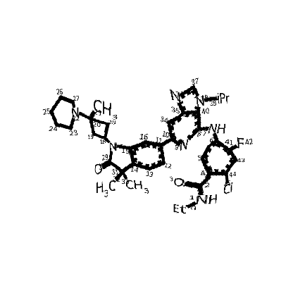 CCNC(=O)c1cc(Nc2nc(-c3ccc4c(c3)N(C3CC(C)(N5CCCCC5)C3)C(=O)C4(C)C)cc3ncn(C(C)C)c23)c(F)cc1Cl